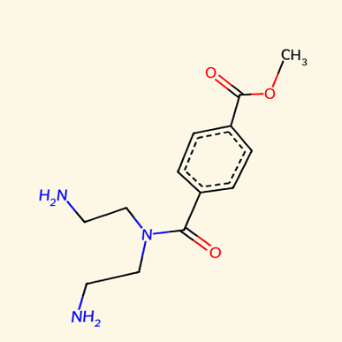 COC(=O)c1ccc(C(=O)N(CCN)CCN)cc1